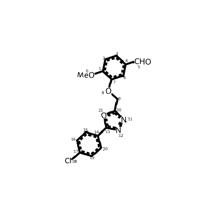 COc1ccc(C=O)cc1OCc1nnc(-c2ccc(Cl)cc2)o1